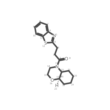 O=C(CCc1nc2ccccc2s1)N1CCO[C@@H]2CCCCC21